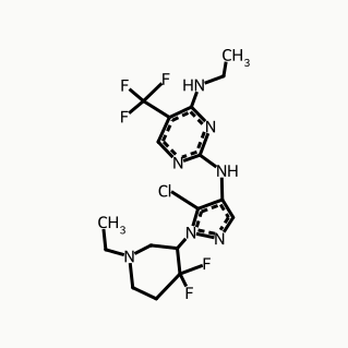 CCNc1nc(Nc2cnn(C3CN(CC)CCC3(F)F)c2Cl)ncc1C(F)(F)F